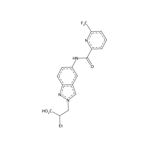 CCC(Cn1cc2cc(NC(=O)c3cccc(C(F)(F)F)n3)ccc2n1)C(=O)O